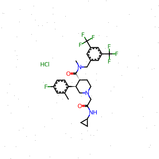 Cc1cc(F)ccc1[C@@H]1CN(CC(=O)NC2CC2)CC[C@H]1C(=O)N(C)Cc1cc(C(F)(F)F)cc(C(F)(F)F)c1.Cl